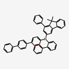 CC1(C)c2ccccc2-c2cc(N(c3ccc(-c4ccc(-c5ccccc5)cc4)cc3)c3ccccc3-c3ccccc3)cc(-c3ccccc3)c21